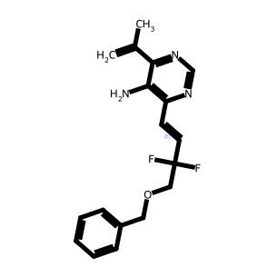 C=C(C)c1ncnc(/C=C/C(F)(F)COCc2ccccc2)c1N